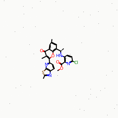 COC(=O)c1nc(Cl)ccc1N[C@H](C)c1cc(C)cc2c(=O)c(C)c(-c3ccc4nc(C)sc4n3)oc12